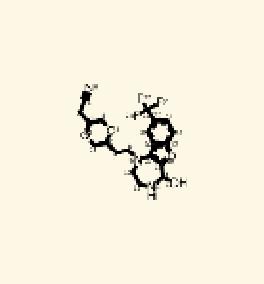 N#CCC1COC(CCN2CCNC(O)c3oc4ccc(C(F)(F)F)cc4c32)CO1